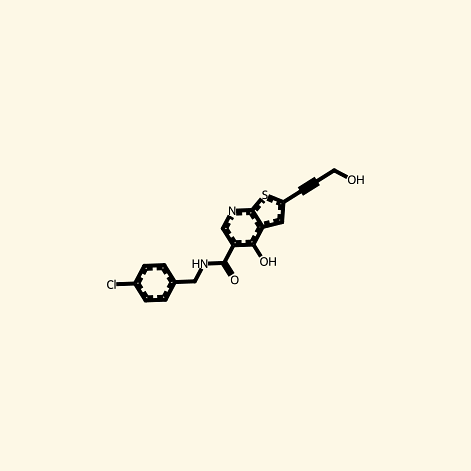 O=C(NCc1ccc(Cl)cc1)c1cnc2sc(C#CCO)cc2c1O